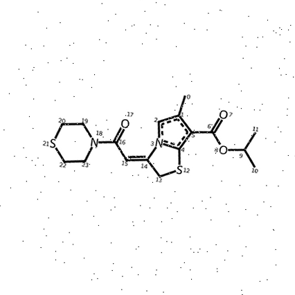 Cc1cn2c(c1C(=O)OC(C)C)SCC2=CC(=O)N1CCSCC1